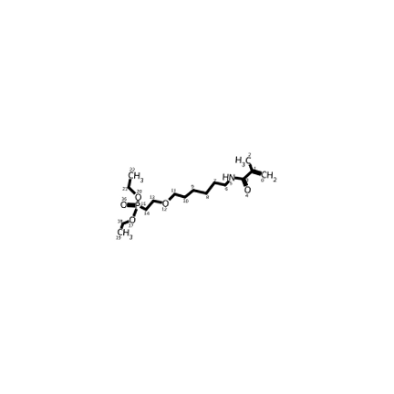 C=C(C)C(=O)NCCCCCCOCCP(=O)(OCC)OCC